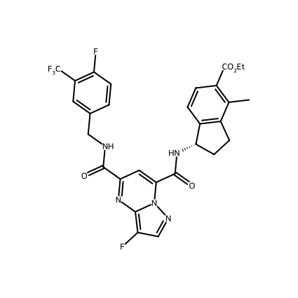 CCOC(=O)c1ccc2c(c1C)CC[C@@H]2NC(=O)c1cc(C(=O)NCc2ccc(F)c(C(F)(F)F)c2)nc2c(F)cnn12